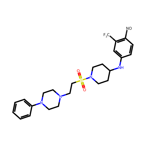 O=Nc1ccc(NC2CCN(S(=O)(=O)CCN3CCN(c4ccccc4)CC3)CC2)cc1C(F)(F)F